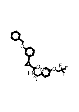 C[C@H](NC(=O)C1CC1c1cccc(OCc2ccccc2)c1)c1ccc(OCC(F)(F)F)cn1